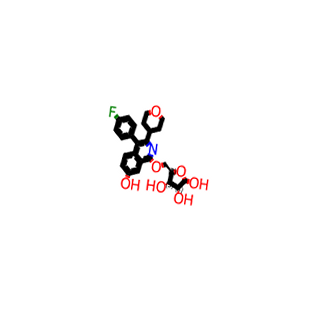 Oc1ccc2c(-c3ccc(F)cc3)c(C3CCOCC3)nc(OC[C@H]3OC(O)[C@H](O)[C@@H]3O)c2c1